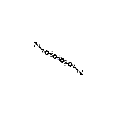 C=CC(=O)OCCCCOc1ccc(C(=O)Oc2ccc(/N=C(\CC)c3ccc(OC(=O)c4ccc(OCCCCOC(=O)C=C)cc4)cc3)cc2)cc1